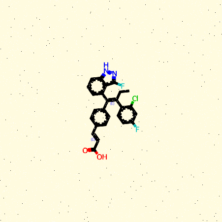 CC/C(=C(/c1ccc(/C=C/C(=O)O)cc1)c1cccc2[nH]nc(F)c12)c1ccc(F)cc1Cl